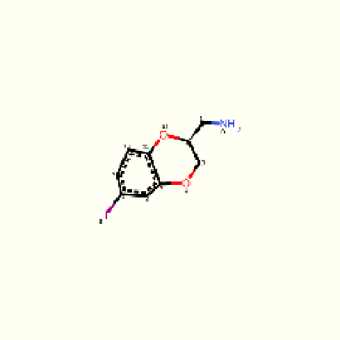 NC[C@H]1COc2cc(I)ccc2O1